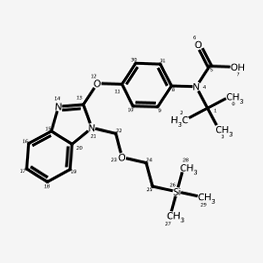 CC(C)(C)N(C(=O)O)c1ccc(Oc2nc3ccccc3n2COCC[Si](C)(C)C)cc1